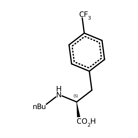 CCCCN[C@@H](Cc1ccc(C(F)(F)F)cc1)C(=O)O